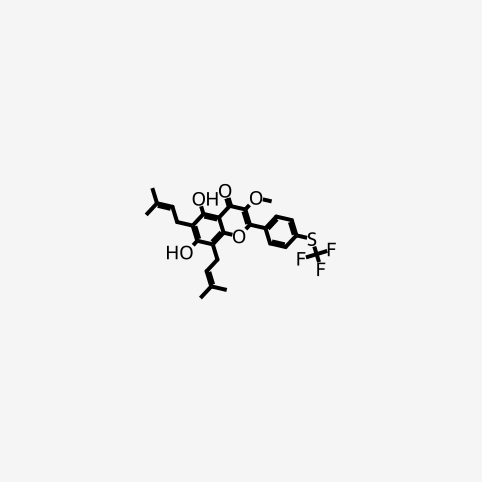 COc1c(-c2ccc(SC(F)(F)F)cc2)oc2c(CC=C(C)C)c(O)c(CC=C(C)C)c(O)c2c1=O